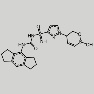 N=S(=O)(NC(=O)Nc1c2c(cc3c1CCC3)CCC2)c1ccn(C2C=CB(O)OC2)n1